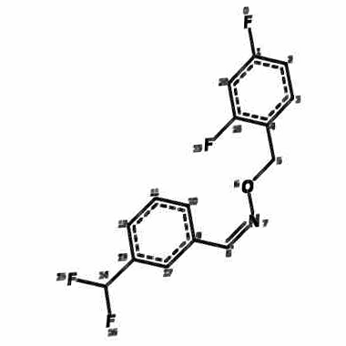 Fc1ccc(CO/N=[C]\c2cccc(C(F)F)c2)c(F)c1